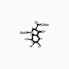 CNn1cc(C(=O)OC)c(=O)c2cc(F)c(F)c(F)c21